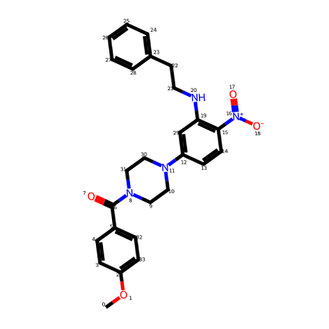 COc1ccc(C(=O)N2CCN(c3ccc([N+](=O)[O-])c(NCCc4ccccc4)c3)CC2)cc1